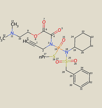 C#CCN(C(=O)C(=O)OCCN(C)C)P(=O)(SCCC)N(C1CCCCC1)S(=O)(=O)Cc1ccccc1